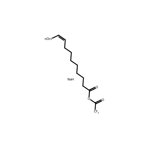 CCCCCCCC/C=C\CCCCCCCC(=O)OC(=O)C(F)(F)F.[NaH]